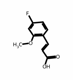 COc1cc(F)ccc1C=CC(=O)O